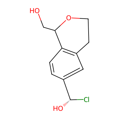 OCC1OCCc2cc([C@@H](O)Cl)ccc21